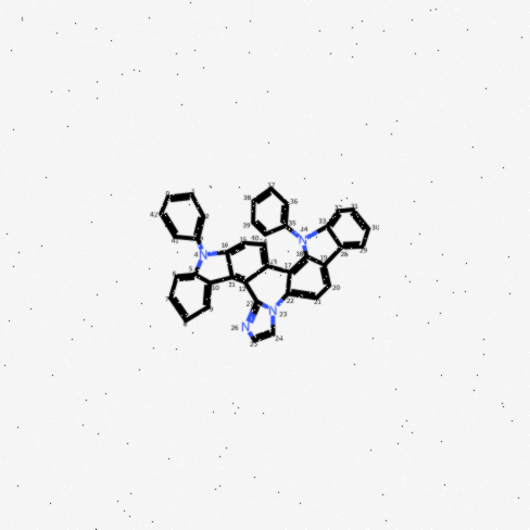 c1ccc(-n2c3ccccc3c3c4c(ccc32)c2c3c(ccc2n2ccnc42)c2ccccc2n3-c2ccccc2)cc1